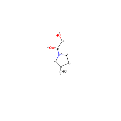 O=CC1CCN(C(=O)CO)C1